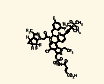 CC(C)(C#Cc1ccc(-c2ccc(Cl)c3c(CS(=O)(=O)NC(=O)/C=C/C(=O)O)nn(CC(F)(F)F)c23)c([C@H](Cc2cc(F)cc(F)c2)NC(=O)Cn2nc(C(F)(F)F)c3c2C(F)(F)[C@@H]2C[C@H]32)n1)S(C)(=O)=O